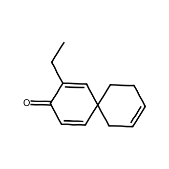 CCC1=CC2(C=CC1=O)CC=CCC2